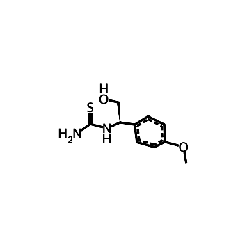 COc1ccc([C@H](CO)NC(N)=S)cc1